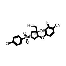 N#Cc1ccc(OC2CN(S(=O)(=O)c3ccc(Cl)cc3)C[C@@]2(O)CO)cc1F